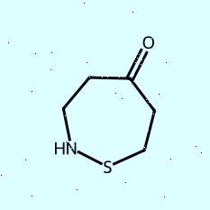 O=C1CCNSCC1